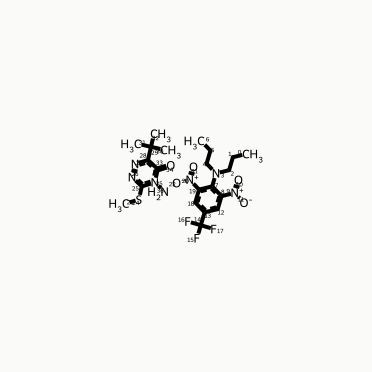 CCCN(CCC)c1c([N+](=O)[O-])cc(C(F)(F)F)cc1[N+](=O)[O-].CSc1nnc(C(C)(C)C)c(=O)n1N